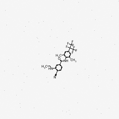 CCNc1cc(C(=O)Nc2c(C)cc(C(F)(C(F)(F)F)C(F)(F)F)cc2C)ccc1C#N